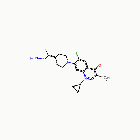 CC(CN)=C1CCN(c2cc3c(cc2F)c(=O)c(C(=O)O)cn3C2CC2)CC1